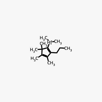 CCCC1=[C]([Hf]([CH3])[CH3])C(C)(C)C(C)=C1C